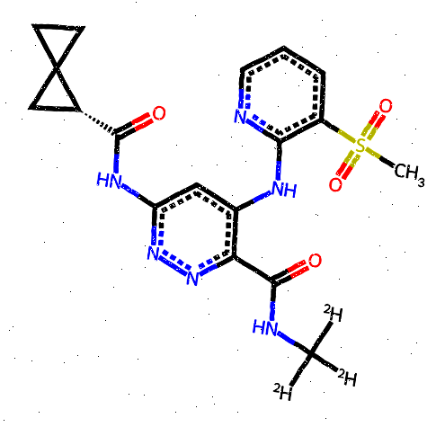 [2H]C([2H])([2H])NC(=O)c1nnc(NC(=O)[C@@H]2CC23CC3)cc1Nc1ncccc1S(C)(=O)=O